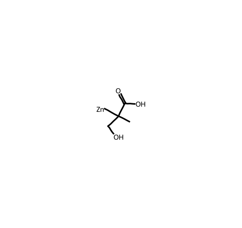 CC(C)(CO)C(=O)O.[Zn]